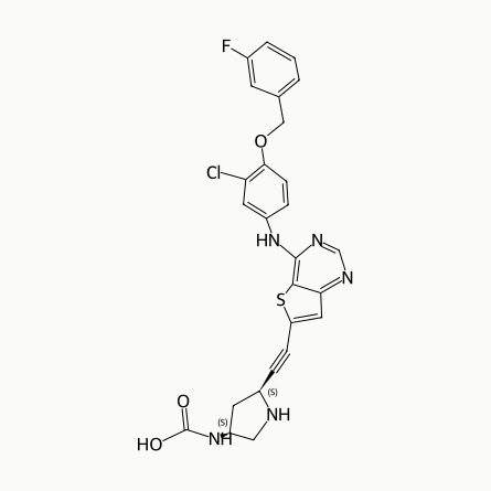 O=C(O)N[C@@H]1CN[C@H](C#Cc2cc3ncnc(Nc4ccc(OCc5cccc(F)c5)c(Cl)c4)c3s2)C1